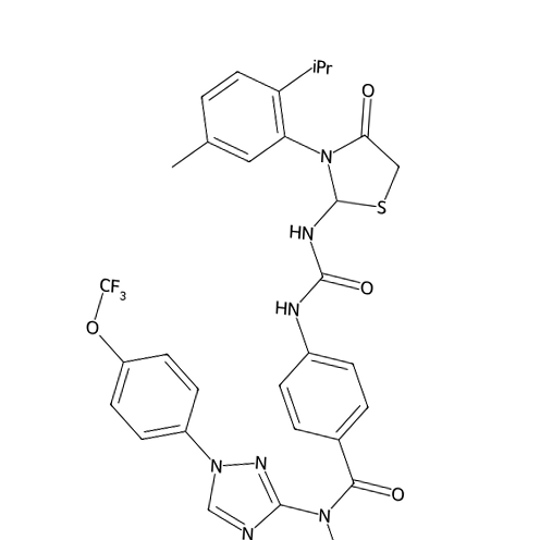 Cc1ccc(C(C)C)c(N2C(=O)CSC2NC(=O)Nc2ccc(C(=O)N(C)c3ncn(-c4ccc(OC(F)(F)F)cc4)n3)cc2)c1